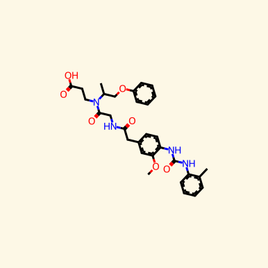 COc1cc(CC(=O)NCC(=O)N(CCC(=O)O)C(C)COc2ccccc2)ccc1NC(=O)Nc1ccccc1C